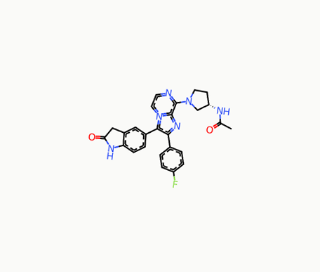 CC(=O)N[C@H]1CCN(c2nccn3c(-c4ccc5c(c4)CC(=O)N5)c(-c4ccc(F)cc4)nc23)C1